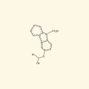 CCOC(=O)c1c2ccccc2n2cc(OC(C#N)C(C)C)ccc12